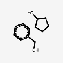 OC1CCCC1.OCc1ccccc1